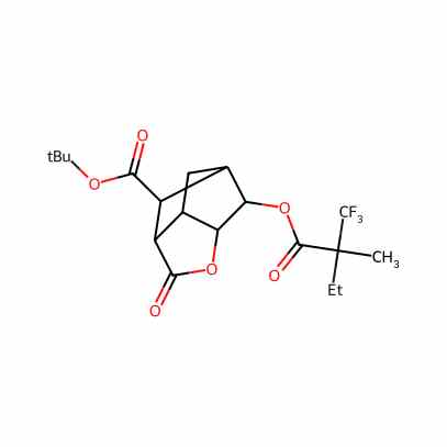 CCC(C)(C(=O)OC1C2CC3C1OC(=O)C3C2C(=O)OC(C)(C)C)C(F)(F)F